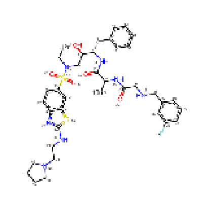 CC(C)CN(C[C@@H](O)[C@H](Cc1ccccc1)NC(=O)C(NC(=O)CNCc1cccc(F)c1)C(C)(C)C)S(=O)(=O)c1ccc2nc(NCCN3CCCC3)sc2c1